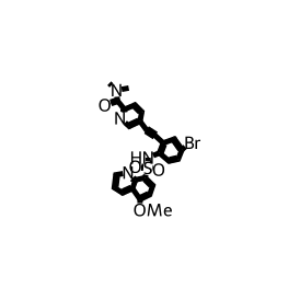 COc1ccc(S(=O)(=O)Nc2ccc(Br)cc2C#Cc2ccc(C(=O)N(C)C)nc2)c2ncccc12